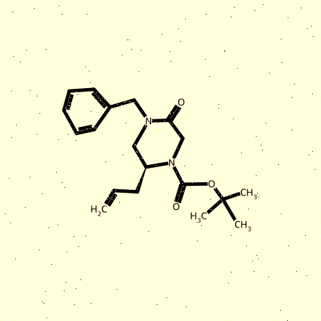 C=CC[C@H]1CN(Cc2ccccc2)C(=O)CN1C(=O)OC(C)(C)C